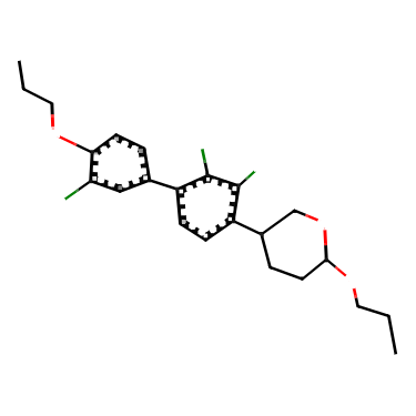 CCCOc1ccc(-c2ccc(C3CCC(OCCC)OC3)c(F)c2F)cc1F